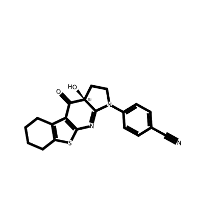 N#Cc1ccc(N2CC[C@@]3(O)C(=O)c4c(sc5c4CCCC5)N=C23)cc1